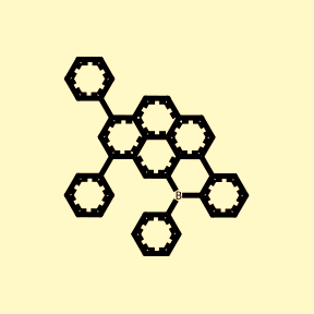 c1ccc(B2c3ccccc3-c3ccc4ccc5c(-c6ccccc6)cc(-c6ccccc6)c6cc2c3c4c56)cc1